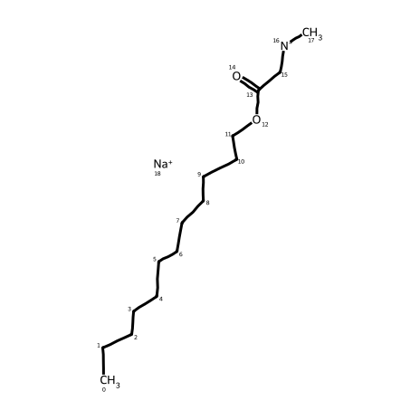 CCCCCCCCCCCCOC(=O)C[N-]C.[Na+]